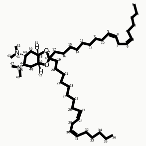 CCCCC/C=C\C/C=C\CCCCCCCCC1(CCCCCCCC/C=C\C/C=C\CCCCC)O[C@H]2C[C@@H](N(C)C)[C@@H](N(C)C)C[C@H]2O1